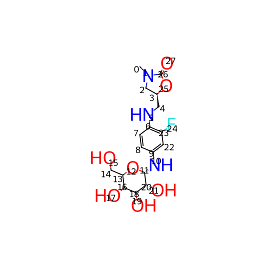 CN1C[C@H](CNc2ccc(N[C@H]3OC(CO)[C@H](O)C(O)[C@H]3O)cc2F)OC1=O